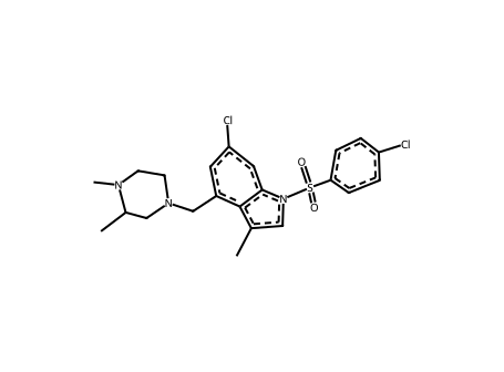 Cc1cn(S(=O)(=O)c2ccc(Cl)cc2)c2cc(Cl)cc(CN3CCN(C)C(C)C3)c12